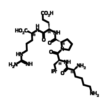 CC(C)C[C@H](NC(=O)[C@@H](N)CCCCN)C(=O)N1CCC[C@H]1C(=O)N[C@@H](CCC(=O)O)C(=O)N[C@@H](CCCNC(=N)N)C(=O)O